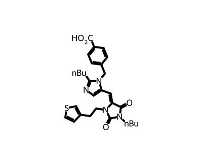 CCCCc1ncc(C=C2C(=O)N(CCCC)C(=O)N2CCc2ccsc2)n1Cc1ccc(C(=O)O)cc1